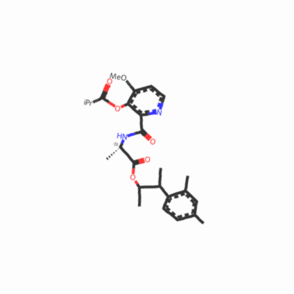 COc1ccnc(C(=O)N[C@@H](C)C(=O)OC(C)C(C)c2ccc(C)cc2C)c1OC(=O)C(C)C